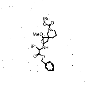 COC(=O)C1(CCNC(C(=O)OCc2ccccc2)C(C)C)CCCN(C(=O)OC(C)(C)C)C1